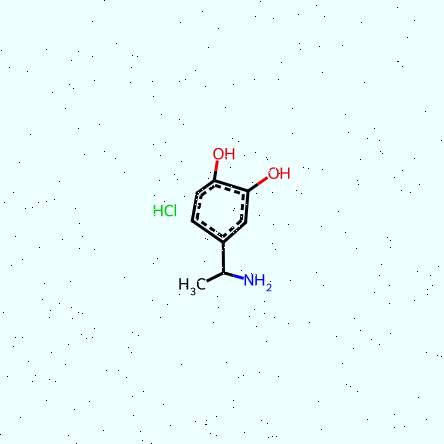 CC(N)c1ccc(O)c(O)c1.Cl